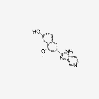 COc1cc(-c2nc3cnccc3[nH]2)cc2ccc(O)cc12